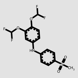 CS(=O)(=O)c1ccc(Nc2ccc(OC(F)F)c(OC(F)F)c2)cc1